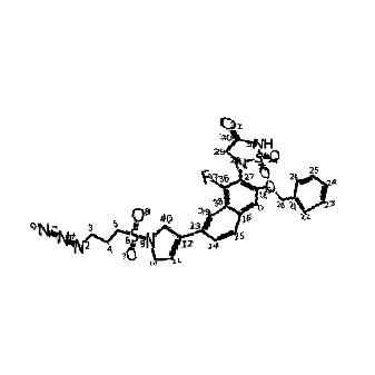 [N-]=[N+]=NCCCS(=O)(=O)N1CC=C(c2ccc3cc(OCc4ccccc4)c(N4CC(=O)NS4(=O)=O)c(F)c3c2)C1